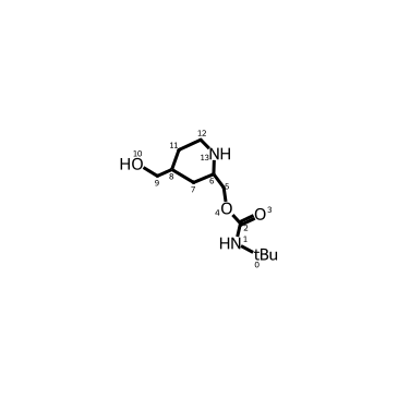 CC(C)(C)NC(=O)OCC1CC(CO)CCN1